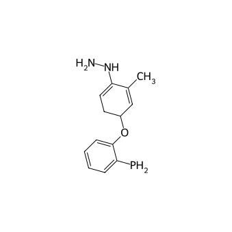 CC1=CC(Oc2ccccc2P)CC=C1NN